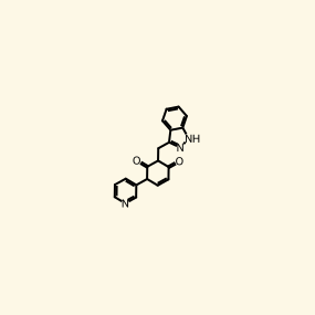 O=C1C=CC(c2cccnc2)C(=O)C1Cc1n[nH]c2ccccc12